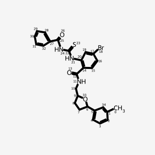 Cc1cccc(C2CCC(CNC(=O)c3ccc(Br)cc3NC(=S)NC(=O)c3ccccc3)O2)c1